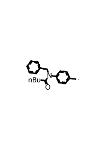 [CH2]c1ccc(N(Cc2ccccc2)C(=O)CCCC)cc1